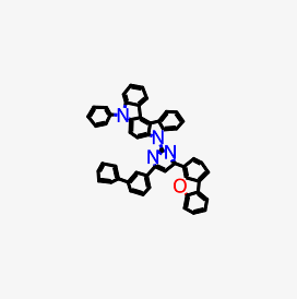 c1ccc(-c2cccc(-c3cc(-c4cccc5c4oc4ccccc45)nc(-n4c5ccccc5c5c6c7ccccc7n(-c7ccccc7)c6ccc54)n3)c2)cc1